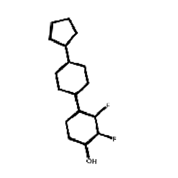 OC1CCC(C2CCC(C3CCCC3)CC2)C(F)C1F